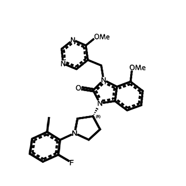 COc1ncncc1Cn1c(=O)n([C@@H]2CCN(c3c(C)cccc3F)C2)c2cccc(OC)c21